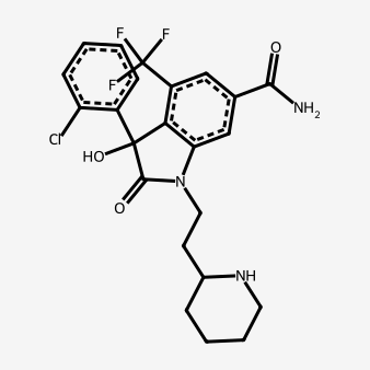 NC(=O)c1cc2c(c(C(F)(F)F)c1)C(O)(c1ccccc1Cl)C(=O)N2CCC1CCCCN1